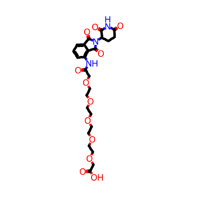 O=C(O)COCCOCCOCCOCCOCC(=O)Nc1cccc2c1C(=O)N(C1CCC(=O)NC1=O)C2=O